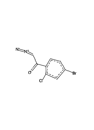 [N-]=[N+]=CC(=O)c1ccc(Br)cc1Cl